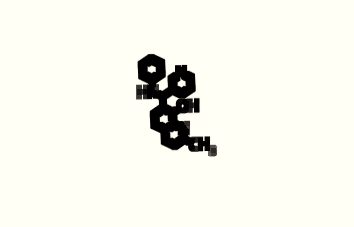 Cc1ccc2ccc(C(Nc3ccccc3)c3cccnc3)c(O)c2n1